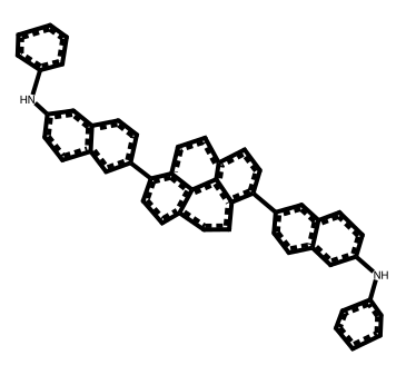 c1ccc(Nc2ccc3cc(-c4ccc5ccc6c(-c7ccc8cc(Nc9ccccc9)ccc8c7)ccc7ccc4c5c76)ccc3c2)cc1